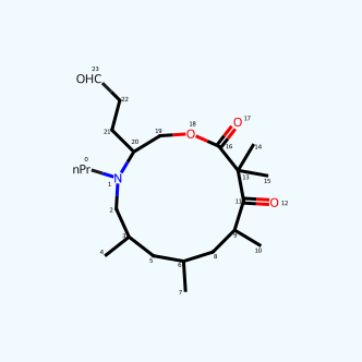 CCCN1CC(C)CC(C)CC(C)C(=O)C(C)(C)C(=O)OCC1CCC=O